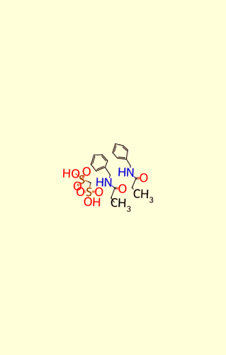 CCC(=O)NCc1ccccc1.CCC(=O)NCc1ccccc1.O=S(=O)(O)CS(=O)(=O)O